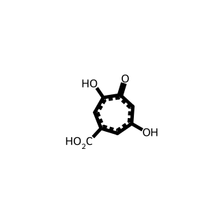 O=C(O)c1cc(O)cc(=O)c(O)c1